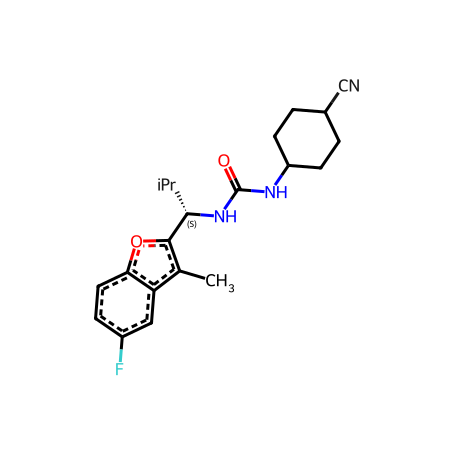 Cc1c([C@@H](NC(=O)NC2CCC(C#N)CC2)C(C)C)oc2ccc(F)cc12